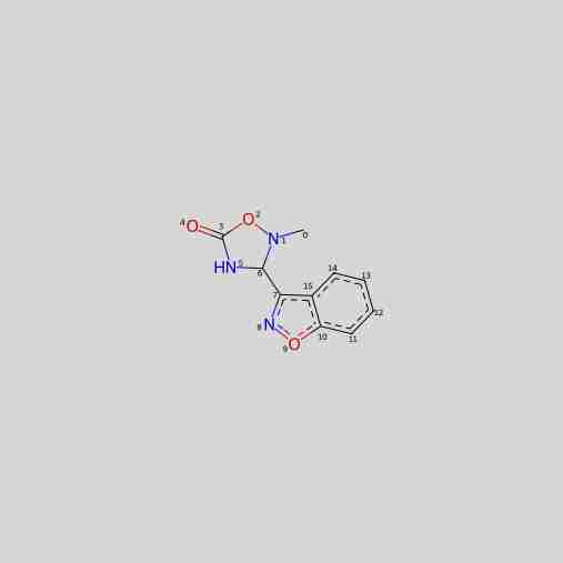 CN1OC(=O)NC1c1noc2ccccc12